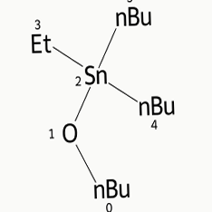 CCCC[O][Sn]([CH2]C)([CH2]CCC)[CH2]CCC